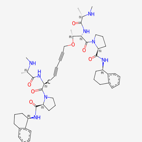 CN[C@@H](C)C(=O)N[C@@H](CC#CC#CCO[C@H](C)[C@H](NC(=O)[C@H](C)NC)C(=O)N1CCC[C@H]1C(=O)N[C@@H]1CCCc2ccccc21)C(=O)N1CCC[C@H]1C(=O)N[C@@H]1CCCc2ccccc21